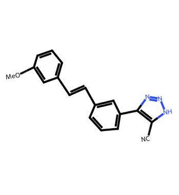 COc1cccc(/C=C/c2cccc(-c3nn[nH]c3C#N)c2)c1